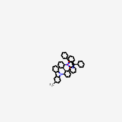 FC(F)(F)c1ccc2c(c1)c1ccccc1n2-c1cccc(-c2nc(-c3ccccc3)cc(-c3ccccc3)n2)c1-c1ccccc1-n1c2ccccc2c2ccccc21